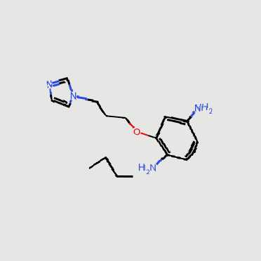 CCCC.Nc1ccc(N)c(OCCCn2ccnc2)c1